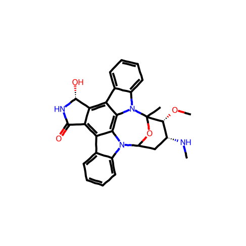 CN[C@@H]1CC2OC(C)([C@@H]1OC)n1c3ccccc3c3c4c(c5c6ccccc6n2c5c31)C(=O)N[C@@H]4O